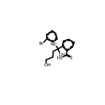 Brc1ccccc1.CC(C#N)(CCCO)c1ccccc1C(=S)S